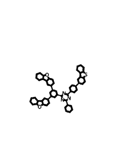 c1ccc(-c2nc(-c3ccc(-c4ccc5sc6ccccc6c5c4)cc3)nc(-c3cc(-c4ccc5oc6ccccc6c5c4)cc(-c4ccc5oc6ccccc6c5c4)c3)n2)cc1